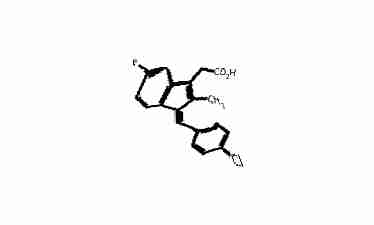 CC1=C(CC(=O)O)c2cc(F)ccc2/C1=C/c1ccc(Cl)cc1